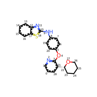 c1cnc(Oc2ccc(Nc3nc4ccccc4s3)cc2)c([C@H]2CCCCO2)c1